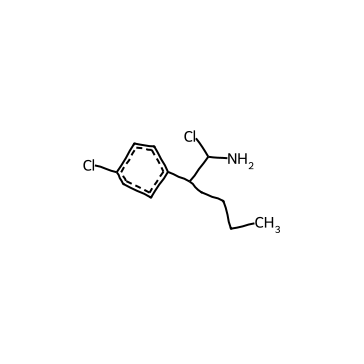 CCCCC(c1ccc(Cl)cc1)C(N)Cl